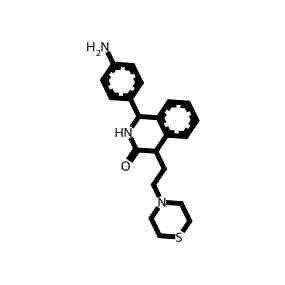 Nc1ccc(C2NC(=O)C(CCN3CCSCC3)c3ccccc32)cc1